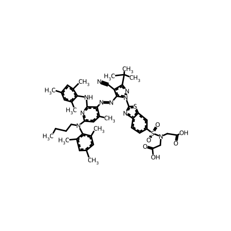 CCCCN(c1cc(C)c(N=Nc2c(C#N)c(C(C)(C)C)nn2-c2nc3ccc(S(=O)(=O)N(CC(=O)O)CC(=O)O)cc3s2)c(Nc2c(C)cc(C)cc2C)n1)c1c(C)cc(C)cc1C